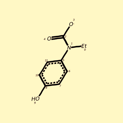 CCN(C([O])=O)c1ccc(O)cc1